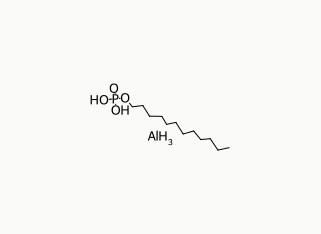 CCCCCCCCCCCCOP(=O)(O)O.[AlH3]